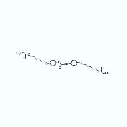 C=CC(=O)OCCCCCCOc1ccc(C#CC(=O)Oc2ccc(OCCCCCCOC(=O)C=C)cc2)cc1